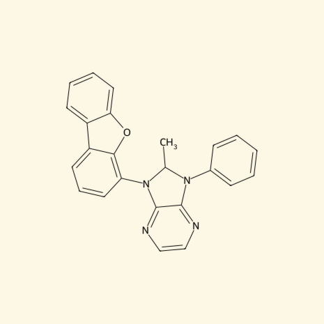 CC1N(c2ccccc2)c2nccnc2N1c1cccc2c1oc1ccccc12